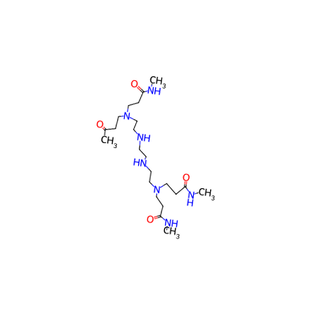 CNC(=O)CCN(CCNCCNCCN(CCC(=O)NC)CCC(=O)NC)CCC(C)=O